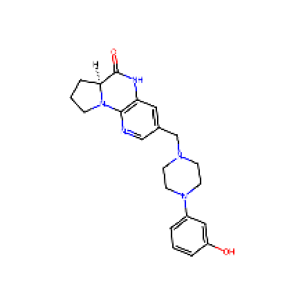 O=C1Nc2cc(CN3CCN(c4cccc(O)c4)CC3)cnc2N2CCC[C@@H]12